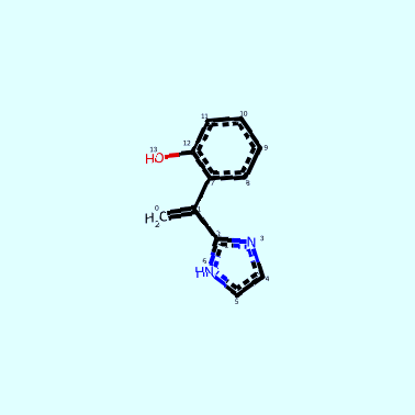 C=C(c1ncc[nH]1)c1ccccc1O